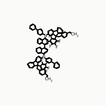 C=Cc1ccc(CC2(c3c(F)c(F)c(F)c(F)c3F)c3ccccc3-c3ccc(N(c4ccc(-c5ccccc5)cc4)c4ccc(-c5ccc(N(c6ccc(-c7ccccc7)cc6)c6ccc7c(c6)C(Cc6ccc(C=C)cc6)(c6c(F)c(F)c(F)c(F)c6F)c6ccccc6-7)c6ccccc56)c5ccccc45)cc32)cc1